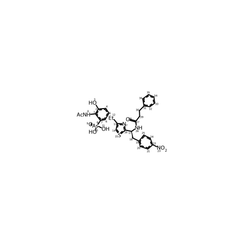 CC(=O)Nc1c(O)cccc1[As](=O)(O)O.CCc1csc([C@H](Cc2ccc([N+](=O)[O-])cc2)NC(=O)CCc2ccccc2)n1